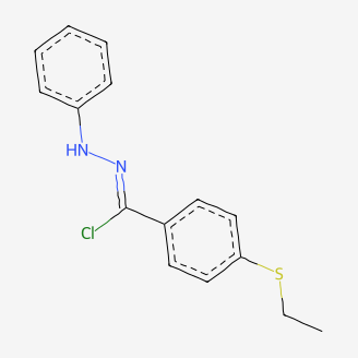 CCSc1ccc(C(Cl)=NNc2ccccc2)cc1